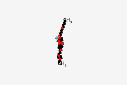 CCCCCCCCCCCCOc1ccc(C(=O)Oc2ccc(CCC=CC3CCC(CCC)CC3)cc2)c(F)c1F